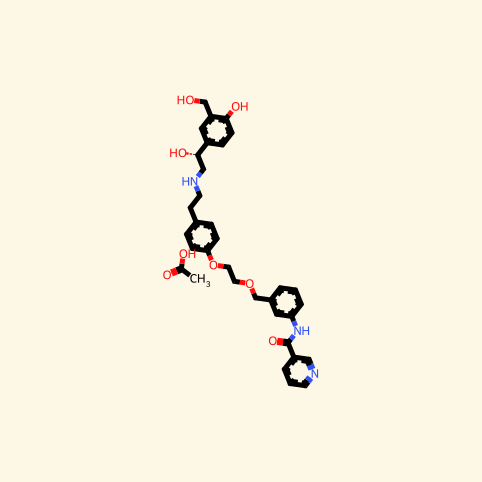 CC(=O)O.O=C(Nc1cccc(COCCOc2ccc(CCNC[C@H](O)c3ccc(O)c(CO)c3)cc2)c1)c1cccnc1